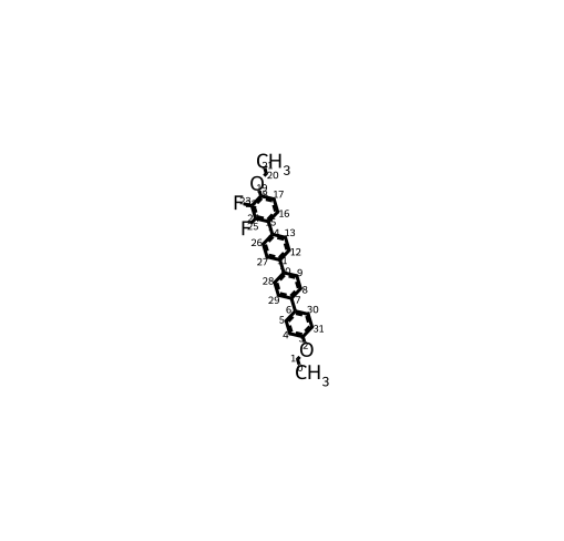 CCOc1ccc(-c2ccc(-c3ccc(-c4ccc(OCC)c(F)c4F)cc3)cc2)cc1